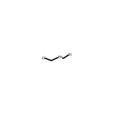 CCCPCCl